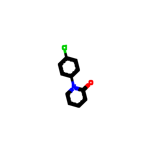 O=c1ccccn1-c1ccc(Cl)cc1